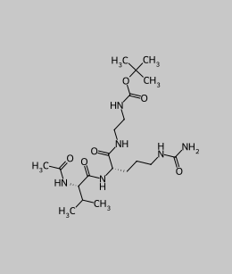 CC(=O)N[C@H](C(=O)N[C@@H](CCCNC(N)=O)C(=O)NCCNC(=O)OC(C)(C)C)C(C)C